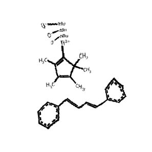 C(C=Cc1ccccc1)=Cc1ccccc1.CC(C)(C)[O-].CC(C)(C)[O-].CC(C)(C)[O-].CC1=C(C)C(C)(C)[C]([Ti+3])=C1C